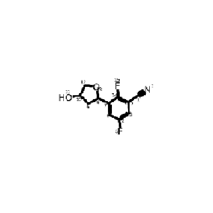 N#Cc1cc(F)cc(C2CC(O)CO2)c1F